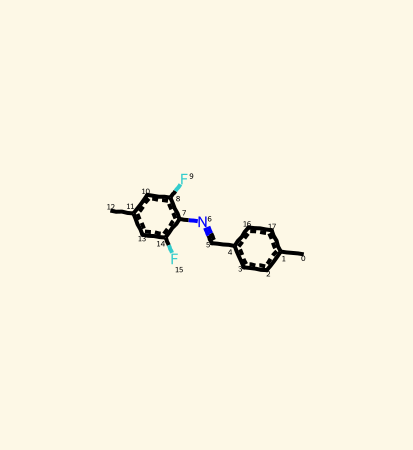 Cc1ccc(/C=N/c2c(F)cc(C)cc2F)cc1